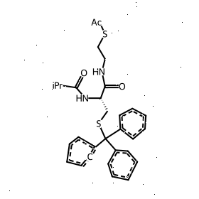 CC(=O)SCCNC(=O)[C@H](CSC(c1ccccc1)(c1ccccc1)c1ccccc1)NC(=O)C(C)C